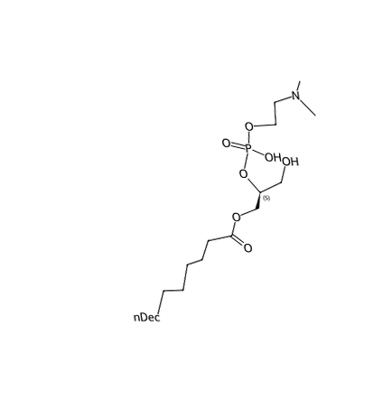 CCCCCCCCCCCCCCCC(=O)OC[C@H](CO)OP(=O)(O)OCCN(C)C